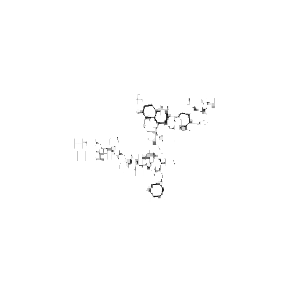 CC[C@@]1(O)C(=O)OCc2c1cc1n(c2=O)Cc2c-1nc1cc(F)c(C)c3c1c2[C@@H](NC(=O)CNC(=O)[C@H](Cc1ccccc1)NC(=O)CNC(=O)CNC(=O)[C@@H](N)CO)CC3